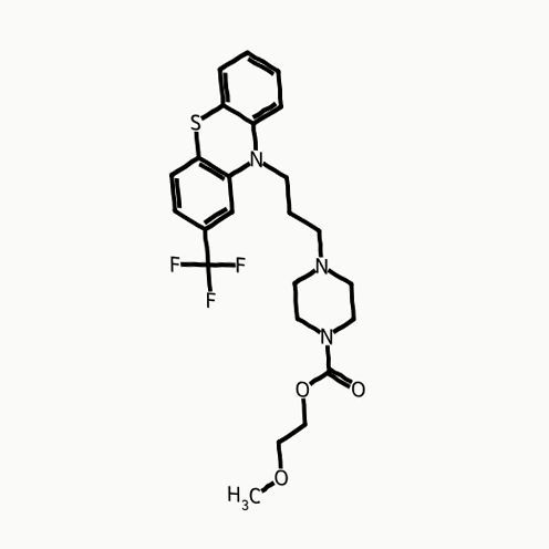 COCCOC(=O)N1CCN(CCCN2c3ccccc3Sc3ccc(C(F)(F)F)cc32)CC1